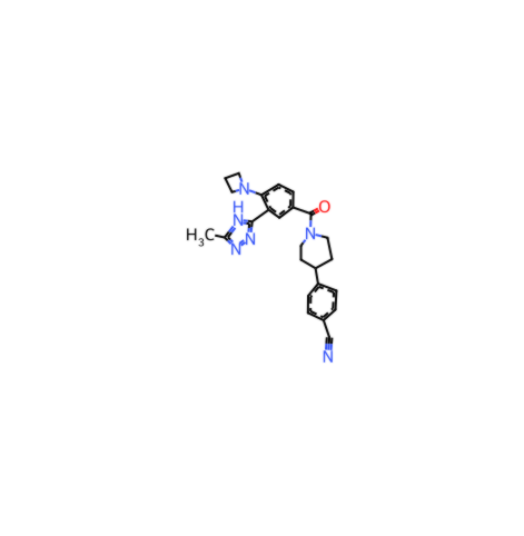 Cc1nnc(-c2cc(C(=O)N3CCC(c4ccc(C#N)cc4)CC3)ccc2N2CCC2)[nH]1